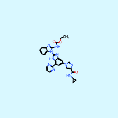 CCOC(=O)Nc1nc2ccccc2n1-c1nc2cc(-n3cnc(C(=O)NC4CC4)c3)cc(-c3ncccn3)c2[nH]1